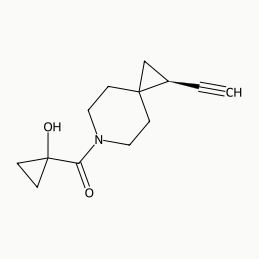 C#C[C@@H]1CC12CCN(C(=O)C1(O)CC1)CC2